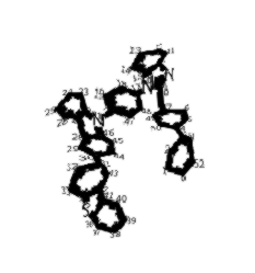 c1ccc(-c2ccc(-c3nc4ccccc4n3-c3ccc(-n4c5ccccc5c5cc(-c6ccc7sc8ccccc8c7c6)ccc54)cc3)cc2)cc1